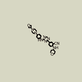 CN1C=NC(c2ccc(NC3CCOCC3)c(C#N)c2)=NC1Nc1ccc(N2CCN(C3COC3)CC2)cc1